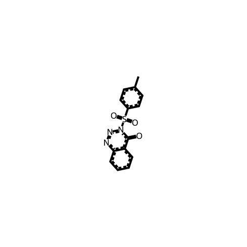 Cc1ccc(S(=O)(=O)n2nnc3ccccc3c2=O)cc1